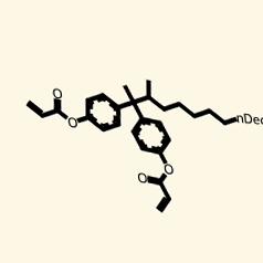 C=CC(=O)Oc1ccc(C(C)(c2ccc(OC(=O)C=C)cc2)C(C)CCCCCCCCCCCCCCC)cc1